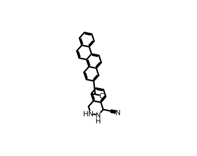 N#CC1NNCc2c3ccc(c21)CC3c1ccc2c(ccc3c4ccccc4ccc23)c1